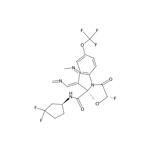 C=N/C=C(\C=N/C)[C@](C)(C(=O)N[C@H]1CCC(F)(F)C1)N(C(=O)[C@H](F)Cl)c1ccc(OC(F)(F)F)cc1